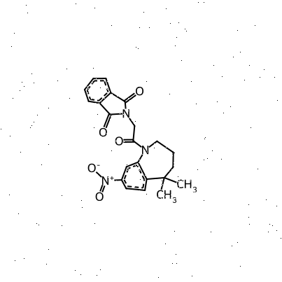 CC1(C)CCCN(C(=O)CN2C(=O)c3ccccc3C2=O)c2cc([N+](=O)[O-])ccc21